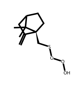 C=C1CC2CC[C@@]1(CSOOO)C2(C)C